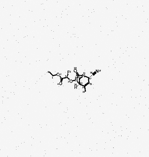 CCOC(=O)[C@@H](F)ON1C(=O)N2C[C@H]1C(C)=C[C@H]2C#N